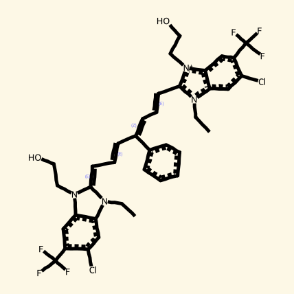 CCN1\C(=C/C=C/C(=C/C=C/c2n(CC)c3cc(Cl)c(C(F)(F)F)cc3[n+]2CCO)c2ccccc2)N(CCO)c2cc(C(F)(F)F)c(Cl)cc21